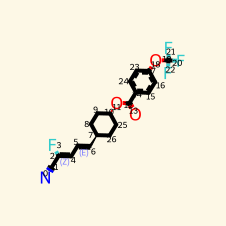 N#C/C(F)=C/C=C/[C@H]1CC[C@H](OC(=O)c2ccc(OC(F)(F)F)cc2)CC1